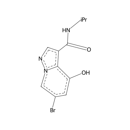 CC(C)NC(=O)c1cnn2cc(Br)cc(O)c12